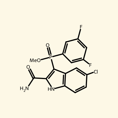 COP(=O)(c1cc(F)cc(F)c1)c1c(C(N)=O)[nH]c2ccc(Cl)cc12